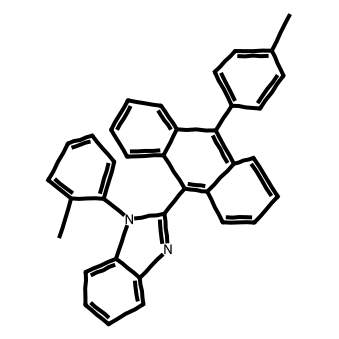 Cc1ccc(-c2c3ccccc3c(-c3nc4ccccc4n3-c3ccccc3C)c3ccccc23)cc1